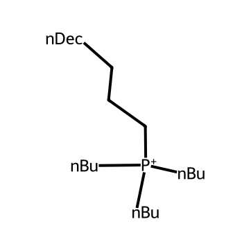 CCCCCCCCCCCCC[P+](CCCC)(CCCC)CCCC